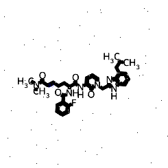 CC(C)Cc1cccc2[nH]c(Cn3cccc(NC(=O)C(CC/C=C/C(=O)N(C)C)NC(=O)c4ccccc4F)c3=O)nc12